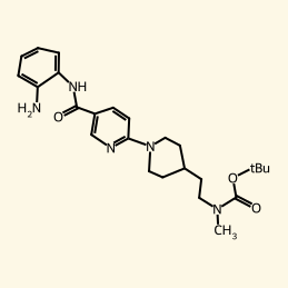 CN(CCC1CCN(c2ccc(C(=O)Nc3ccccc3N)cn2)CC1)C(=O)OC(C)(C)C